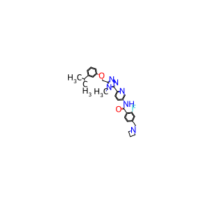 CC(C)c1cccc(OCc2nnc(-c3ccc(NC(=O)c4ccc(CN5CCC5)cc4F)cn3)n2C)c1